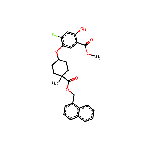 COC(=O)c1cc(OC2CCC(C)(C(=O)OCc3cccc4ccccc34)CC2)c(F)cc1O